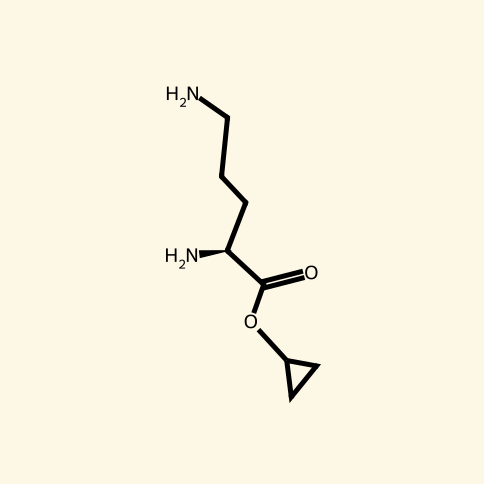 NCCC[C@H](N)C(=O)OC1CC1